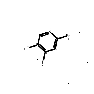 Fc1cnc(Br)cc1F